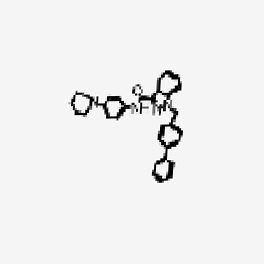 O=C(Nc1ccc(N2CCCCC2)cc1)c1nn(Cc2ccc(-c3ccccc3)cc2)c2ccccc12